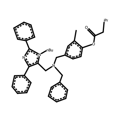 CCCCn1c(-c2ccccc2)nc(-c2ccccc2)c1CN(Cc1ccccc1)Cc1ccc(OC(=O)CC(C)C)c(C)c1